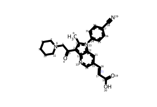 Cc1c(C(=O)CN2CCCCC2)c2ncc(/C=C/C(=O)O)cc2n1-c1ccc(C#N)cc1